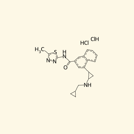 Cc1nnc(NC(=O)c2cc(C3CC3NCC3CC3)c3ccccc3c2)s1.Cl.Cl